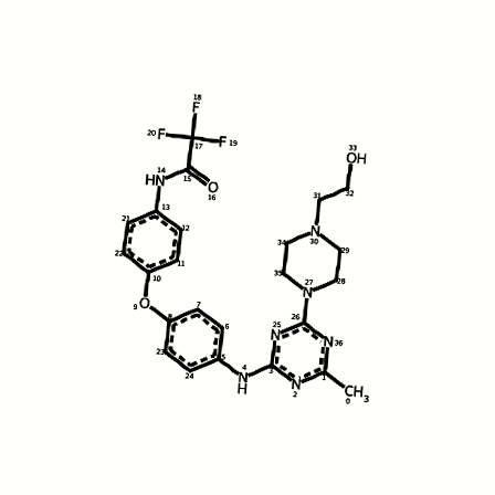 Cc1nc(Nc2ccc(Oc3ccc(NC(=O)C(F)(F)F)cc3)cc2)nc(N2CCN(CCO)CC2)n1